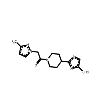 O=Cc1csc(C2CCN(C(=O)Cn3ccc(C(F)(F)F)n3)CC2)n1